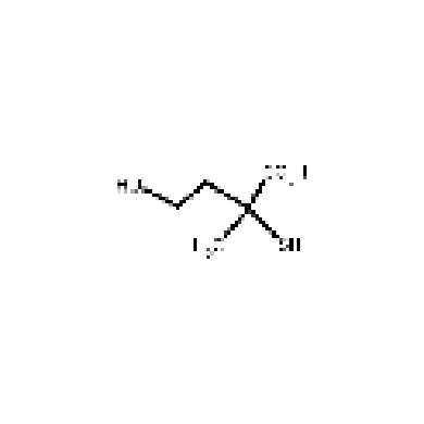 CC(S)(CCO)C(=O)O